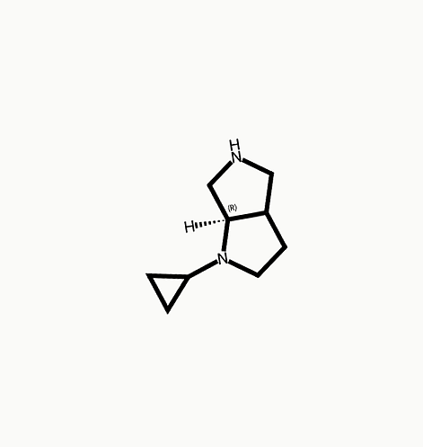 C1CN(C2CC2)[C@H]2CNCC12